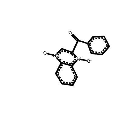 O=C(c1ccccc1)c1c[n+]([O-])c2ccccc2[n+]1[O-]